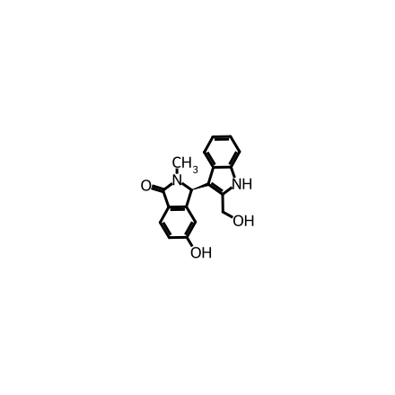 CN1C(=O)c2ccc(O)cc2[C@@H]1c1c(CO)[nH]c2ccccc12